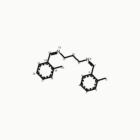 Cc1ccccc1/C=N\CCC/N=C\c1ccccc1C